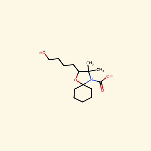 CC1(C)C(CCCCO)OC2(CCCCC2)N1C(=O)O